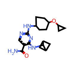 NC(=O)c1cnc(NC2CCC(OC3CC3)CC2)nc1NC1C2CC1C2